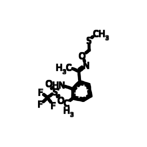 CSCO/N=C(\C)c1cccc(C)c1NS(=O)(=O)C(F)(F)F